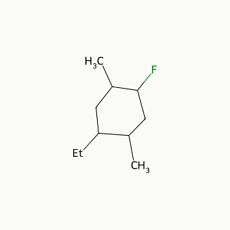 CCC1CC(C)C(F)CC1C